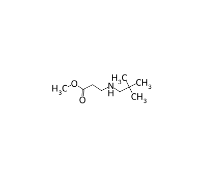 COC(=O)CCNCC(C)(C)C